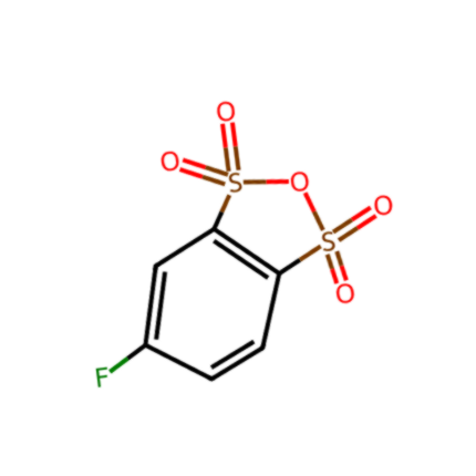 O=S1(=O)OS(=O)(=O)c2cc(F)ccc21